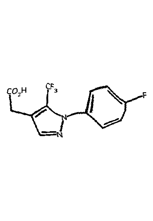 O=C(O)Cc1cnn(-c2ccc(F)cc2)c1C(F)(F)F